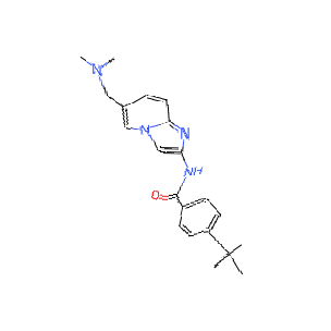 CN(C)Cc1ccc2nc(NC(=O)c3ccc(C(C)(C)C)cc3)cn2c1